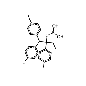 CCC(OB(O)O)(c1ccc(F)cc1)C(c1ccc(F)cc1)c1ccc(F)cc1